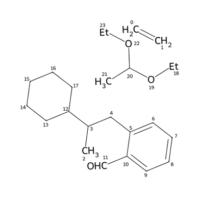 C=C.CC(Cc1ccccc1C=O)C1CCCCC1.CCOC(C)OCC